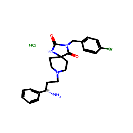 Cl.N[C@@H](CCN1CCC2(CC1)NC(=O)N(Cc1ccc(Br)cc1)C2=O)c1ccccc1